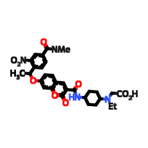 CCN(CC(=O)O)C1CCC(NC(=O)c2cc3ccc(OC(C)c4ccc(C(=O)NC)cc4[N+](=O)[O-])cc3oc2=O)CC1